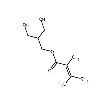 CC(C)=C(C)C(=O)OCC(CO)CO